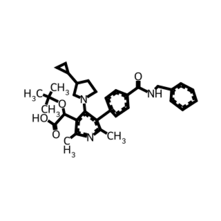 Cc1nc(C)c(C(OC(C)(C)C)C(=O)O)c(N2CCC(C3CC3)C2)c1-c1ccc(C(=O)NCc2ccccc2)cc1